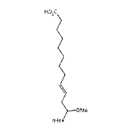 CCCCCCC(CC=CCCCCCCCC(=O)O)OC